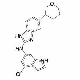 Clc1cc(Nc2nc3cc(C4CCCOC4)ccc3[nH]2)cc2[nH]ccc12